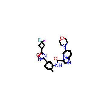 Cc1ccc(-c2noc(C3CC(F)(I)C3)n2)cc1NC(=O)c1cnc2ccc(N3CCOCC3)cn12